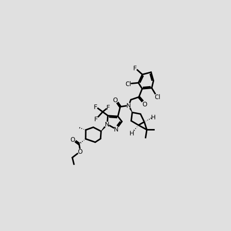 CCOC(=O)[C@H]1CC[C@H](n2ncc(C(=O)N(CC(=O)c3c(Cl)ccc(F)c3Cl)[C@H]3C[C@@H]4[C@H](C3)C4(C)C)c2C(F)(F)F)C[C@H]1C